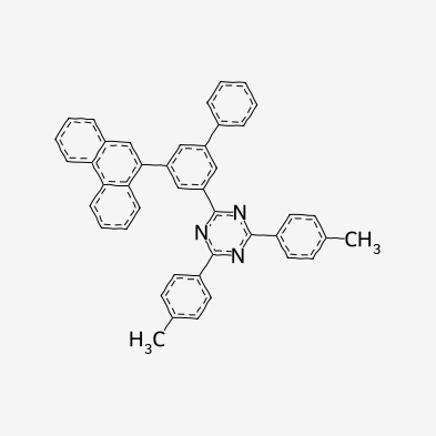 Cc1ccc(-c2nc(-c3ccc(C)cc3)nc(-c3cc(-c4ccccc4)cc(-c4cc5ccccc5c5ccccc45)c3)n2)cc1